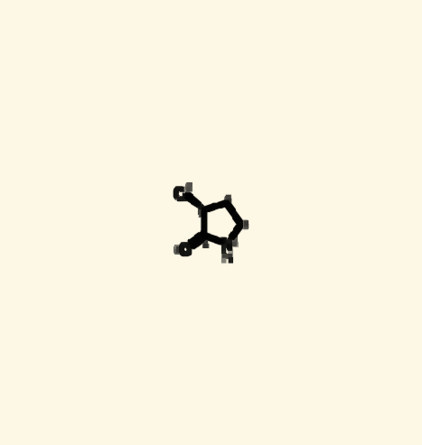 O=C1NCC[C@@H]1Cl